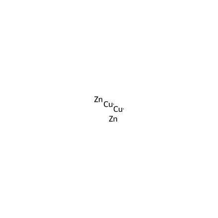 [Cu].[Cu].[Zn].[Zn]